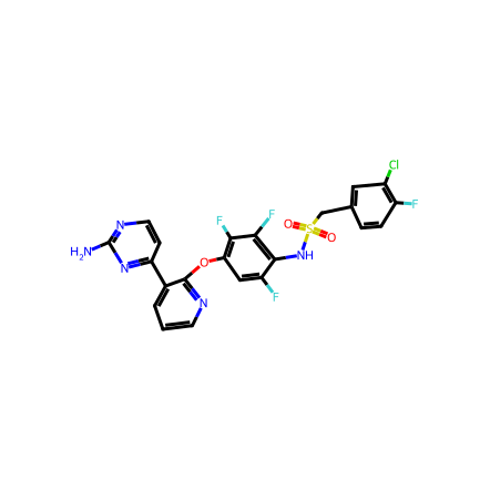 Nc1nccc(-c2cccnc2Oc2cc(F)c(NS(=O)(=O)Cc3ccc(F)c(Cl)c3)c(F)c2F)n1